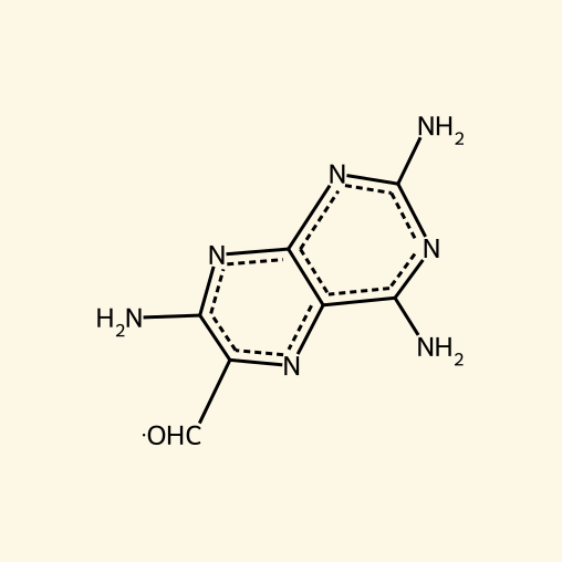 Nc1nc(N)c2nc([C]=O)c(N)nc2n1